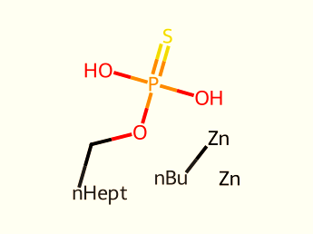 CCCCCCCCOP(O)(O)=S.CCC[CH2][Zn].[Zn]